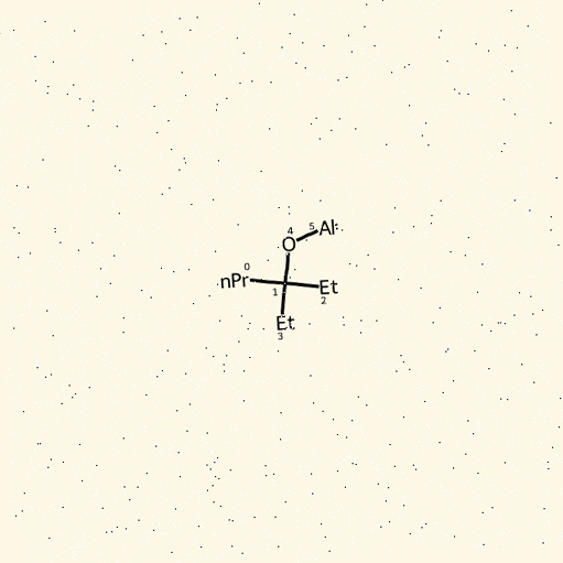 CCCC(CC)(CC)[O][Al]